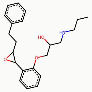 CCCNCC(O)COc1ccccc1C1OC1CCc1ccccc1